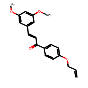 C=CCOc1ccc(C(=O)C=Cc2cc(OCCC)cc(OCCC)c2)cc1